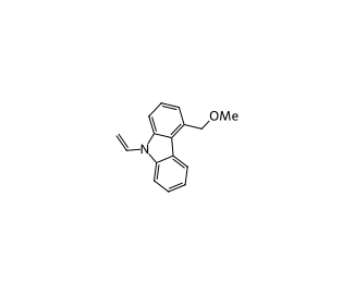 C=Cn1c2ccccc2c2c(COC)cccc21